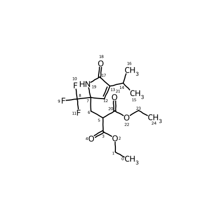 CCOC(=O)C(CC1(C(F)(F)F)C=C(C(C)C)C(=O)N1)C(=O)OCC